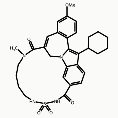 COc1ccc2c(c1)C=C1Cn3c-2c(C2CCCCC2)c2ccc(cc23)C(=O)NS(=O)(=O)NCCCCN(C)C1=O